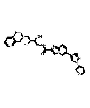 O=C(NCC(O)C(O)CN1CCc2ccccc2C1)c1cn2cc(-c3cnn([C@@H]4CCOC4)c3)ccc2n1